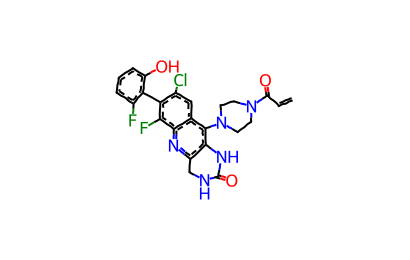 C=CC(=O)N1CCN(c2c3c(nc4c(F)c(-c5c(O)cccc5F)c(Cl)cc24)CNC(=O)N3)CC1